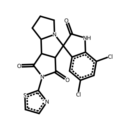 O=C1C2C3CCCN3C3(C(=O)Nc4c(Cl)cc(Cl)cc43)C2C(=O)N1c1nccs1